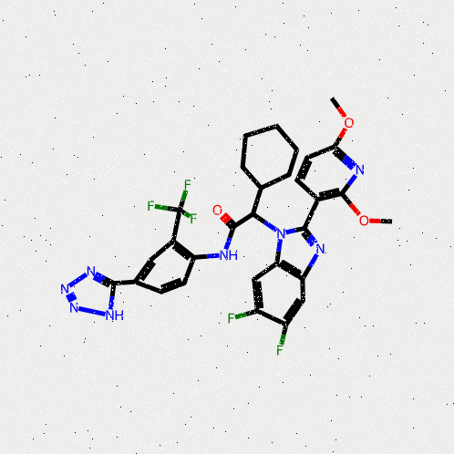 COc1ccc(-c2nc3cc(F)c(F)cc3n2C(C(=O)Nc2ccc(-c3nnn[nH]3)cc2C(F)(F)F)C2CCCCC2)c(OC)n1